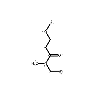 CC(C)CN(C)C(=O)CCOC(C)C